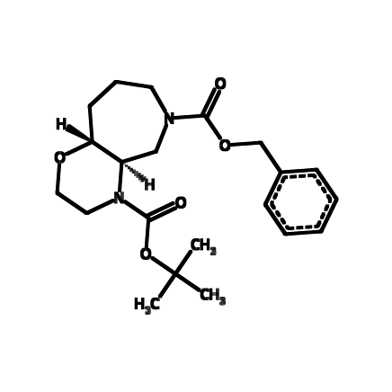 CC(C)(C)OC(=O)N1CCO[C@@H]2CCCN(C(=O)OCc3ccccc3)C[C@H]21